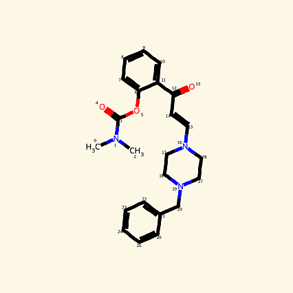 CN(C)C(=O)Oc1ccccc1C(=O)C=CN1CCN(Cc2ccccc2)CC1